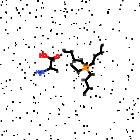 CC(N)C(=O)O.CCCC[P](CC)(CCCC)CCCC